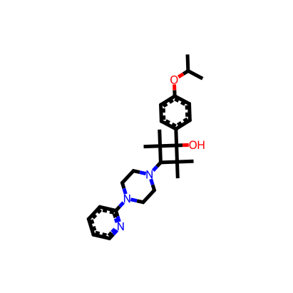 CC(C)Oc1ccc(C2(O)C(C)(C)C(N3CCN(c4ccccn4)CC3)C2(C)C)cc1